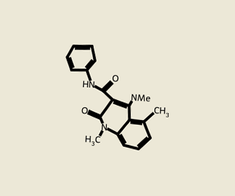 CNc1c(C(=O)Nc2ccccc2)c(=O)n(C)c2cccc(C)c12